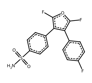 NS(=O)(=O)c1ccc(-c2c(F)oc(F)c2-c2ccc(F)cc2)cc1